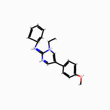 CCn1cc(-c2ccc(OC)cc2)cnc1=Nc1ccccc1